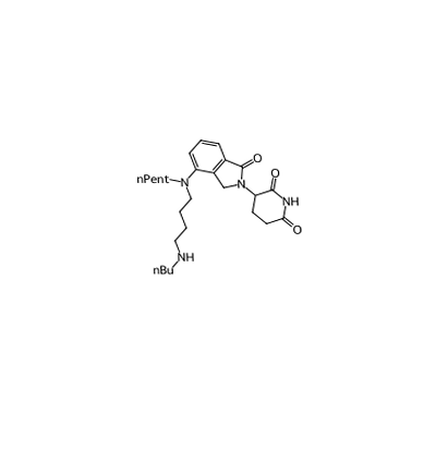 CCCCCN(CCCCNCCCC)c1cccc2c1CN(C1CCC(=O)NC1=O)C2=O